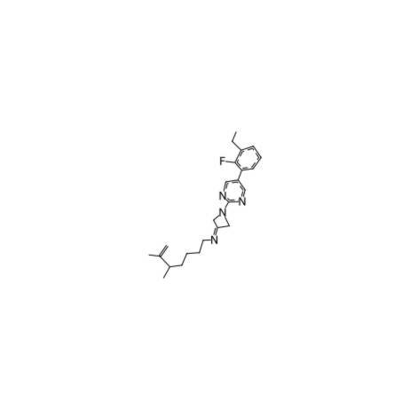 C=C(C)C(C)CCCCN=C1CN(c2ncc(-c3cccc(CC)c3F)cn2)C1